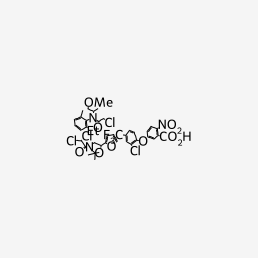 CC1(C)OC(c2ccco2)CN1C(=O)C(Cl)Cl.CCc1cccc(C)c1N(C(=O)CCl)C(C)COC.O=C(O)c1cc(Oc2ccc(C(F)(F)F)cc2Cl)ccc1[N+](=O)[O-]